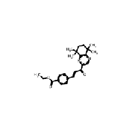 CCOC(=O)c1ccc(C=CC(=O)c2cnc3c(n2)C(C)(C)CCC3(C)C)cc1